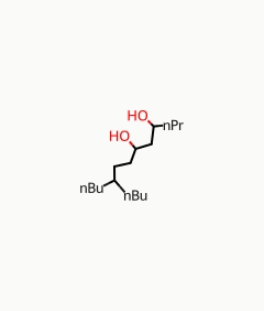 CCCCC(CCCC)CCC(O)CC(O)CCC